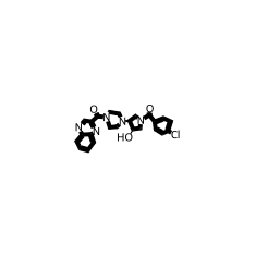 O=C(c1ccc(Cl)cc1)N1C[C@H](O)[C@@H](N2CCN(C(=O)c3cnc4ccccc4n3)CC2)C1